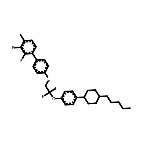 CCCCCC1CCC(c2ccc(OC(F)(F)COc3ccc(-c4ccc(C)c(F)c4F)cc3)cc2)CC1